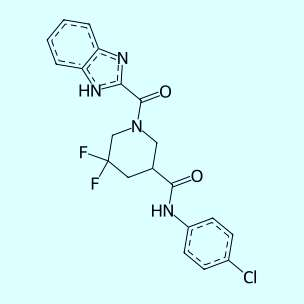 O=C(Nc1ccc(Cl)cc1)C1CN(C(=O)c2nc3ccccc3[nH]2)CC(F)(F)C1